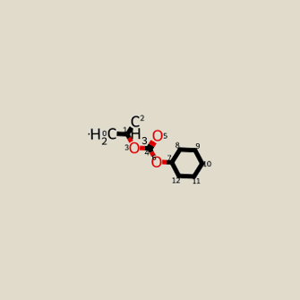 [CH2]C(C)OC(=O)OC1CCCCC1